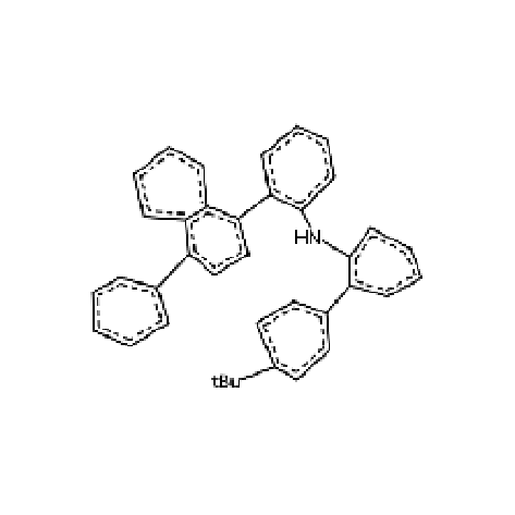 CC(C)(C)c1ccc(-c2ccccc2Nc2ccccc2-c2ccc(-c3ccccc3)c3ccccc23)cc1